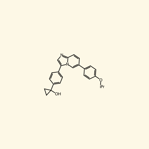 CC(C)Oc1ccc(-c2ccc3ncc(-c4ccc(C5(O)CC5)cc4)n3c2)cc1